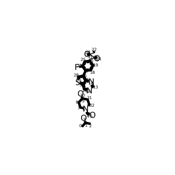 CC(C)OC(=O)N1CCC(Oc2ncnc3c(-c4ccc(S(C)(=O)=O)cc4F)csc23)CC1